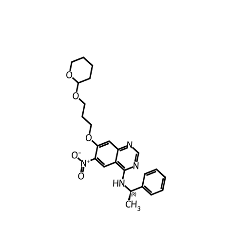 C[C@@H](Nc1ncnc2cc(OCCCOC3CCCCO3)c([N+](=O)[O-])cc12)c1ccccc1